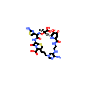 CC(C)(O/N=C(\C(=O)N[C@@H]1C(=O)N2C(C(=O)O)=C(/C=C/C[n+]3cnc(N)c(NCCNC(=O)c4cc(=O)c(O)c[nH]4)c3)CSC12)c1csc(N)n1)C(=O)O